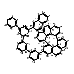 c1ccc(-c2nc(-c3cccc(-c4cccc(-c5cc6ccc7cccc8c9cccc%10ccc%11cccc(c(c5)c6c78)c%11c%109)c4)c3)nc(-c3ccc4ccccc4c3)n2)cc1